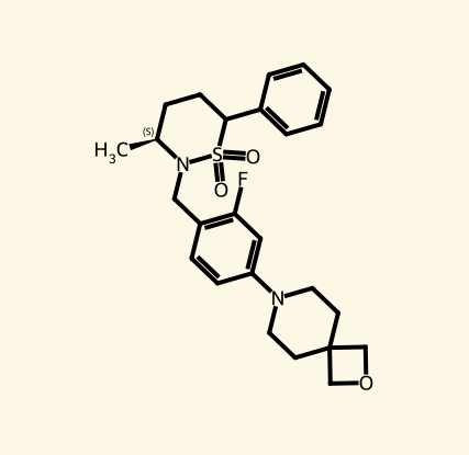 C[C@H]1CCC(c2ccccc2)S(=O)(=O)N1Cc1ccc(N2CCC3(CC2)COC3)cc1F